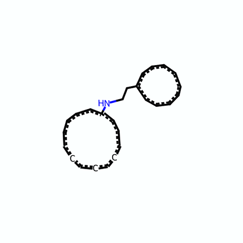 c1ccccccc(NCCc2ccccccccc2)cccccc1